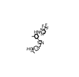 Cc1cc(Nc2nccc(C(F)(F)F)n2)cc(-c2cnc(CN3CC[P](O)(C(C)C)CC3)s2)c1